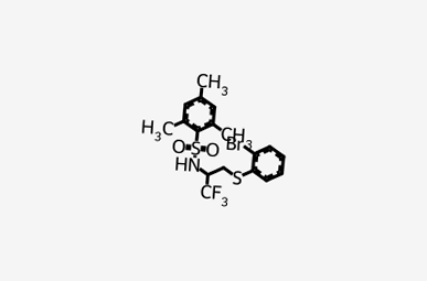 Cc1cc(C)c(S(=O)(=O)NC(CSc2ccccc2Br)C(F)(F)F)c(C)c1